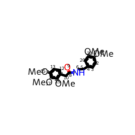 COc1ccc(CCNC(=O)Cc2ccc(OC)c(OC)c2OC)cc1OC